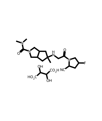 CN(C)C(=O)N1CC2CC(C)(NCC(=O)N3CC(F)CC3C#N)CC2C1.O=C(O)C(O)C(O)C(=O)O